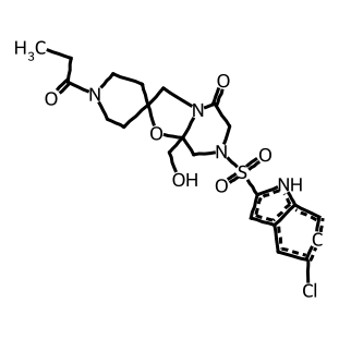 CCC(=O)N1CCC2(CC1)CN1C(=O)CN(S(=O)(=O)c3cc4cc(Cl)ccc4[nH]3)CC1(CO)O2